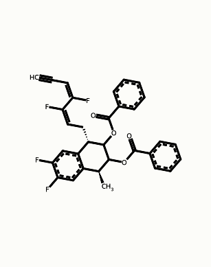 C#C/C=C(F)\C(F)=C/C[C@H]1c2cc(F)c(F)cc2[C@H](C)C(OC(=O)c2ccccc2)C1OC(=O)c1ccccc1